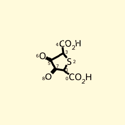 O=C(O)C1SC(C(=O)O)C(=O)C1=O